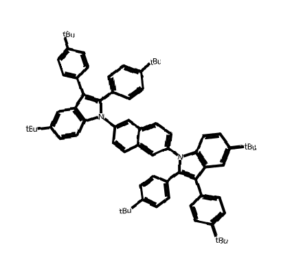 CC(C)(C)c1ccc(-c2c(-c3ccc(C(C)(C)C)cc3)n(-c3ccc4cc(-n5c(-c6ccc(C(C)(C)C)cc6)c(-c6ccc(C(C)(C)C)cc6)c6cc(C(C)(C)C)ccc65)ccc4c3)c3ccc(C(C)(C)C)cc23)cc1